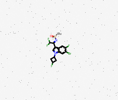 CC(C)(C)[S@+]([O-])N=C(c1cn(C2CC(F)C2)c2cc(Br)c(F)cc12)C(F)F